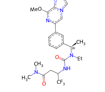 CCN(C(=O)NC(CC(=O)N(C)C)C(F)(F)F)[C@H](C)c1cccc(-c2cn3ccnc3c(OC)n2)c1